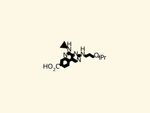 CC(C)OCCCNc1ncc2c(n1)c(NC1CC1)nc1cc(C(=O)O)ccc12